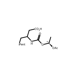 CCCC(C)CC(CC(=O)O)NC(=O)O[C@@H](C)OC(C)=O